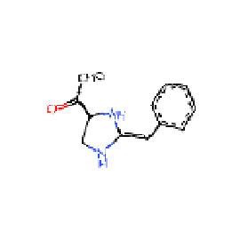 O=CC(=O)C1CNC(=Cc2ccccc2)N1